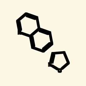 C1=NOCC1.c1ccc2ncccc2c1